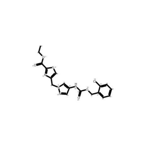 CCOC(=O)c1nc(Cn2cc(NC(=O)OCc3ccccc3Cl)cn2)cs1